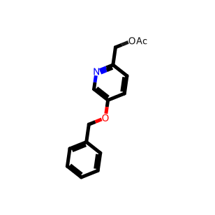 CC(=O)OCc1ccc(OCc2ccccc2)cn1